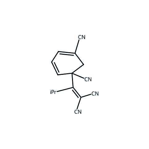 CC(C)C(=C(C#N)C#N)C1(C#N)C=CC=C(C#N)C1